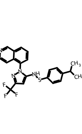 CC(C)c1ccc(SNc2cc(C(F)(F)F)nn2-c2cccc3cnccc23)cc1